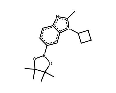 Cc1nc2ccc(B3OC(C)(C)C(C)(C)O3)cc2n1C1CCC1